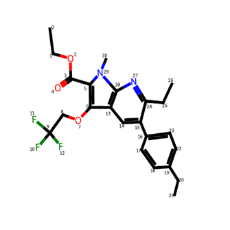 CCOC(=O)c1c(OCC(F)(F)F)c2cc(-c3ccc(CC)cc3)c(CC)nc2n1C